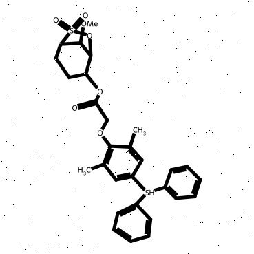 COC1C2OS(=O)(=O)C1CCC2OC(=O)COc1c(C)cc([SH](c2ccccc2)c2ccccc2)cc1C